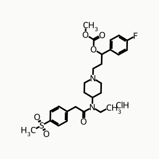 CCN(C(=O)Cc1ccc(S(C)(=O)=O)cc1)C1CCN(CCC(OC(=O)OC)c2ccc(F)cc2)CC1.Cl